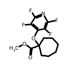 COC(=O)C1(Oc2c(F)c(F)nc(F)c2F)CCCCCC1